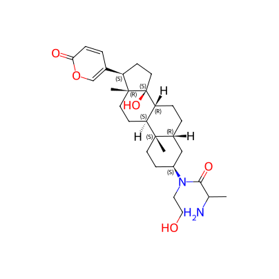 CC(N)C(=O)N(CCO)[C@H]1CC[C@@]2(C)[C@H](CC[C@@H]3[C@@H]2CC[C@]2(C)[C@@H](c4ccc(=O)oc4)CC[C@]32O)C1